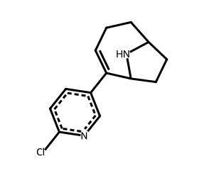 Clc1ccc(C2=CCCC3CCC2N3)cn1